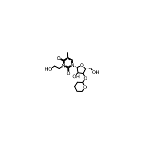 Cc1cn([C@@H]2O[C@H](CO)C(OC3CCCCO3)C2O)c(=O)n(CCO)c1=O